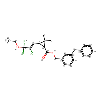 CC1(C)C(C=C(Cl)C(F)(F)OCC(F)(F)F)C1C(=O)OCc1cccc(Cc2ccccc2)c1